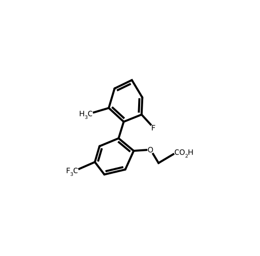 Cc1cccc(F)c1-c1cc(C(F)(F)F)ccc1OCC(=O)O